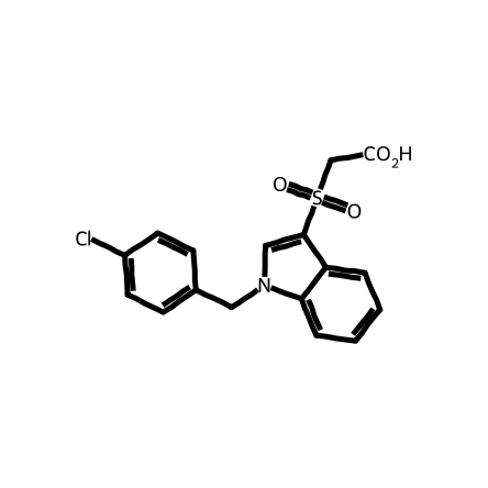 O=C(O)CS(=O)(=O)c1cn(Cc2ccc(Cl)cc2)c2ccccc12